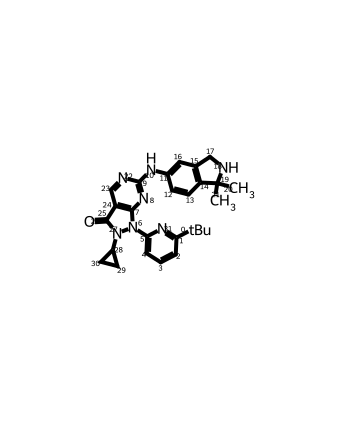 CC(C)(C)c1cccc(-n2c3nc(Nc4ccc5c(c4)CNC5(C)C)ncc3c(=O)n2C2CC2)n1